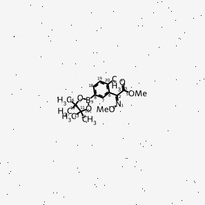 CO/N=C(/C(=O)OC)c1cc(B2OC(C)(C)C(C)(C)O2)ccc1C